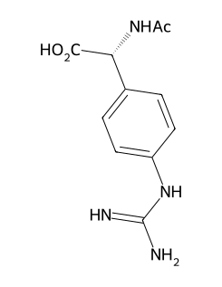 CC(=O)N[C@@H](C(=O)O)c1ccc(NC(=N)N)cc1